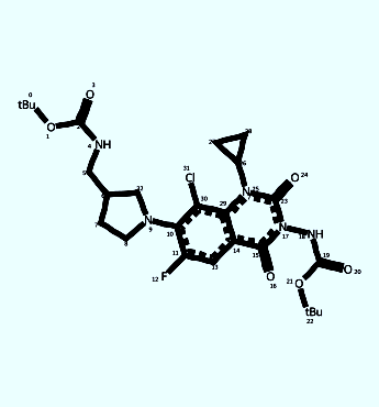 CC(C)(C)OC(=O)NCC1CCN(c2c(F)cc3c(=O)n(NC(=O)OC(C)(C)C)c(=O)n(C4CC4)c3c2Cl)C1